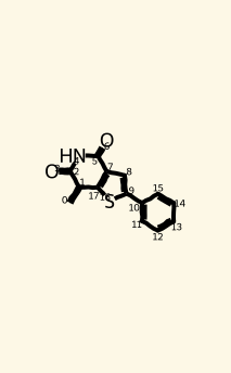 C=C1C(=O)NC(=O)c2cc(-c3ccccc3)sc21